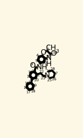 CC1Oc2ccc(NC(=O)c3ccc(-c4ccccc4)cc3CCN3CCCCC3)cc2NC1=O